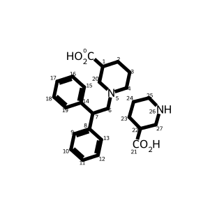 O=C(O)C1CCCN(CC(c2ccccc2)c2ccccc2)C1.O=C(O)C1CCCNC1